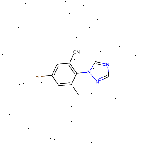 Cc1cc(Br)cc(C#N)c1-n1cncn1